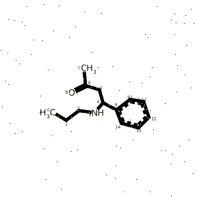 CCCNC(CC(C)=O)c1ccccc1